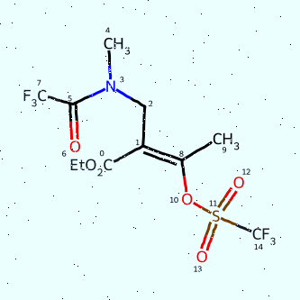 CCOC(=O)/C(CN(C)C(=O)C(F)(F)F)=C(/C)OS(=O)(=O)C(F)(F)F